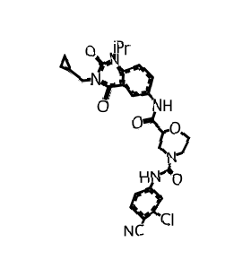 CC(C)n1c(=O)n(CC2CC2)c(=O)c2cc(NC(=O)C3CN(C(=O)Nc4ccc(C#N)c(Cl)c4)CCO3)ccc21